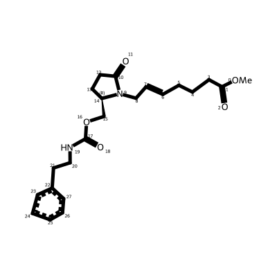 COC(=O)CCCC=CCN1C(=O)CC[C@@H]1COC(=O)NCCc1ccccc1